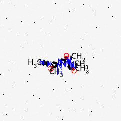 C=CCn1c(=O)c2cnc(Nc3ccc(N4CC5(CN(C)C5)C4)c(OC)c3)nc2n1-c1ccc(=O)n(C(C)C)n1